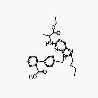 CCCCc1nc2ccc(NC(C)C(=O)OCC)nc2n1Cc1ccc(-c2ccccc2C(=O)O)cc1